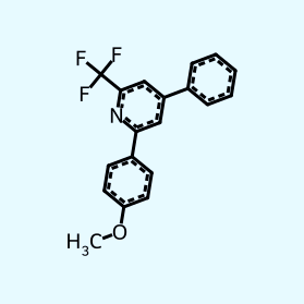 COc1ccc(-c2cc(-c3ccccc3)cc(C(F)(F)F)n2)cc1